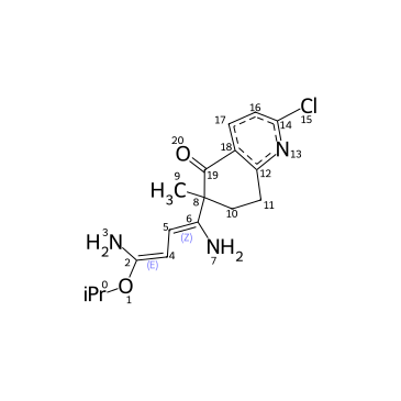 CC(C)O/C(N)=C/C=C(\N)C1(C)CCc2nc(Cl)ccc2C1=O